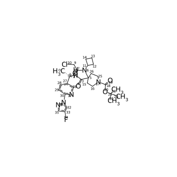 C[C@H](NC(=O)C1(N(C(=O)CCl)C2CCC2)CCN(C(=O)OC(C)(C)C)CC1)c1ccc(-n2cc(F)cn2)nc1